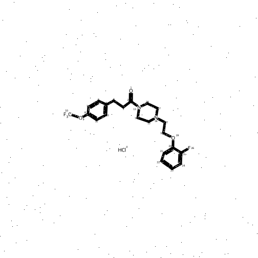 Cl.O=C(CCc1ccc(OC(F)(F)F)cc1)N1CCN(CCOc2ccccc2F)CC1